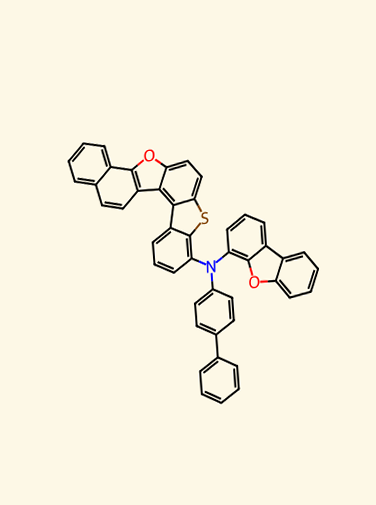 c1ccc(-c2ccc(N(c3cccc4c3oc3ccccc34)c3cccc4c3sc3ccc5oc6c7ccccc7ccc6c5c34)cc2)cc1